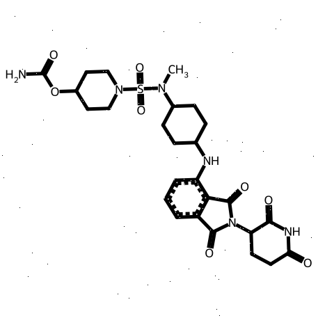 CN(C1CCC(Nc2cccc3c2C(=O)N(C2CCC(=O)NC2=O)C3=O)CC1)S(=O)(=O)N1CCC(OC(N)=O)CC1